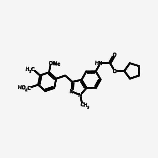 COc1c(Cc2nn(C)c3ccc(NC(=O)OC4CCCC4)cc23)ccc(C(=O)O)c1C